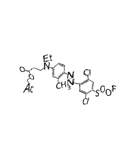 CCN(CCC(=O)OCC(C)=O)c1ccc(N=Nc2cc(Cl)c(SOOF)cc2Cl)c(C)c1